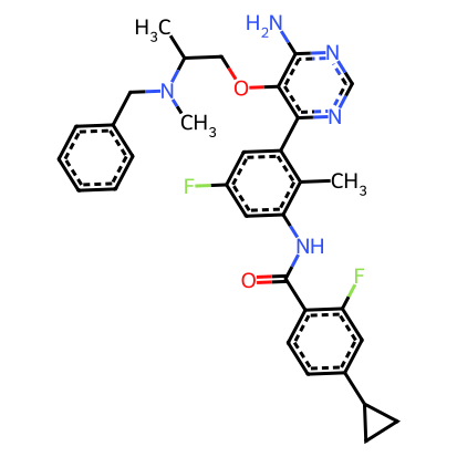 Cc1c(NC(=O)c2ccc(C3CC3)cc2F)cc(F)cc1-c1ncnc(N)c1OCC(C)N(C)Cc1ccccc1